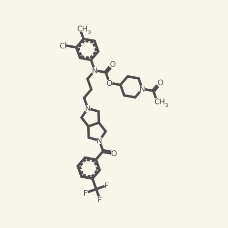 CC(=O)N1CCC(OC(=O)N(CCCN2CC3CN(C(=O)c4cccc(C(F)(F)F)c4)CC3C2)c2ccc(C)c(Cl)c2)CC1